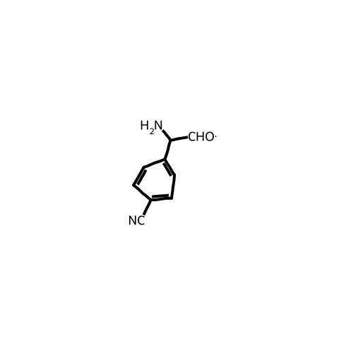 N#Cc1ccc(C(N)[C]=O)cc1